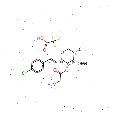 CO[C@@H]1[C@@H](OC(=O)CN)[C@H](C=Cc2ccc(Cl)cc2)OC[C@@H]1C.O=C(O)C(F)(F)F